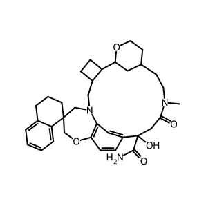 CN1CCC2CCOC(C2)C2CCC2CN2CC3(CCCc4ccccc43)COc3ccc(cc32)C(O)(C(N)=O)CC1=O